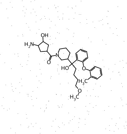 COCCCCC(O)(c1ccccc1Oc1ccccc1C)C1CCCN(C(=O)C2CC(N)C(O)C2)C1